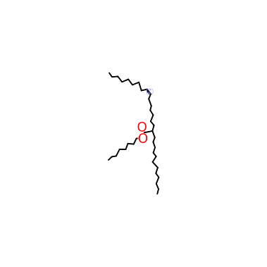 CCCCCCCC/C=C\CCCCCCC(CCCCCCCCCCCC)C(=O)OCCCCCCCC